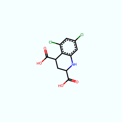 O=C(O)C1CC(C(=O)O)c2c(Cl)cc(Cl)cc2N1